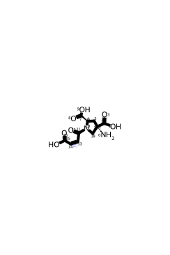 N[C@@]1(C(=O)O)C[C@H](C(=O)O)N(C(=O)/C=C\C(=O)O)C1